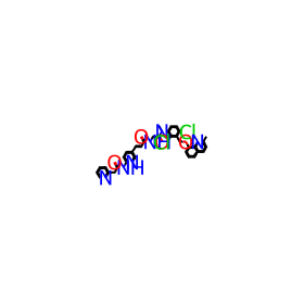 Cc1ccc2cccc(OCc3c(Cl)ccc(N(C)C(=O)CNC(=O)/C=C/c4ccc(NC(=O)Cc5ccccn5)nc4)c3Cl)c2n1